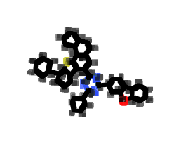 c1ccc(-c2nc(-c3ccc4c(c3)oc3ccccc34)nc(-c3cc4ccc5ccccc5c4c4sc5c(-c6ccccc6)cccc5c34)n2)cc1